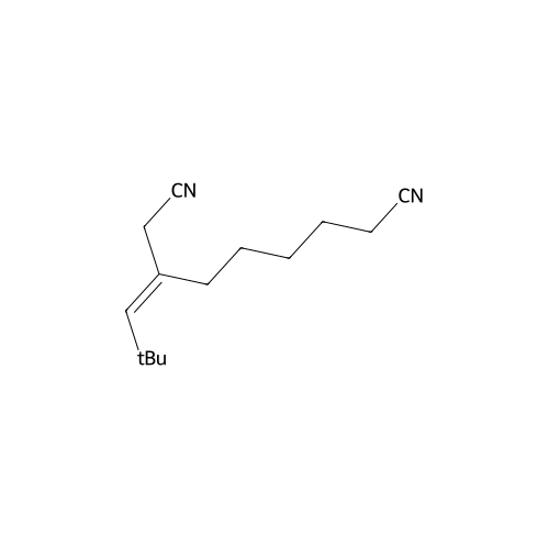 CC(C)(C)C=C(CC#N)CCCCCC#N